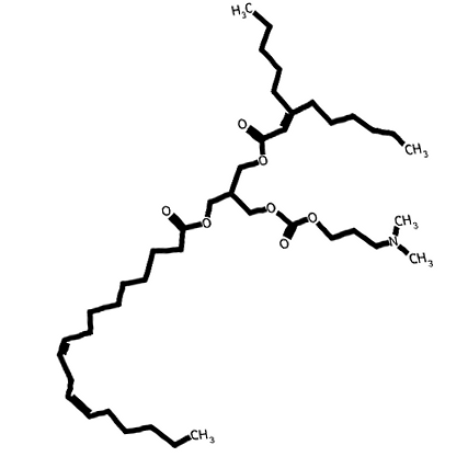 CCCCC/C=C\C/C=C\CCCCCCCC(=O)OCC(COC(=O)/C=C(\CCCCC)CCCCCC)COC(=O)OCCCN(C)C